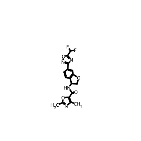 Cc1nc(C)c(C(=O)NC2COc3cc(-c4noc(C(F)F)n4)ccc32)o1